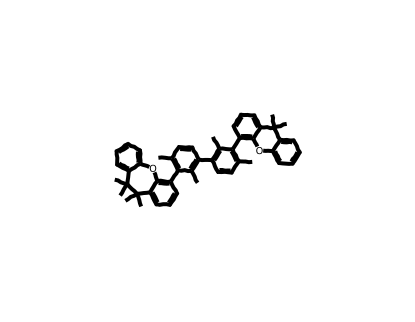 Cc1ccc(-c2ccc(C)c(-c3cccc4c3Oc3ccccc3C(C)(C)C4(C)C)c2C)c(C)c1-c1cccc2c1Oc1ccccc1C2(C)C